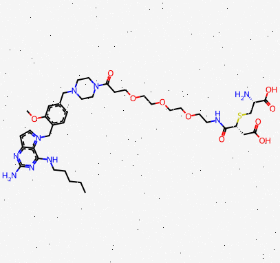 CCCCCNc1nc(N)nc2ccn(Cc3ccc(CN4CCN(C(=O)CCOCCOCCOCCNC(=O)[C@@H](CC(=O)O)SC[C@H](N)C(=O)O)CC4)cc3OC)c12